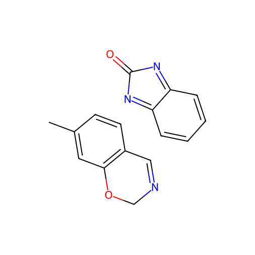 Cc1ccc2c(c1)OCN=C2.O=C1N=c2ccccc2=N1